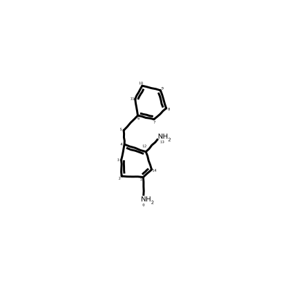 Nc1ccc(Cc2ccccc2)c(N)c1